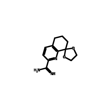 N=C(N)c1ccc2c(n1)C1(CCC2)OCCO1